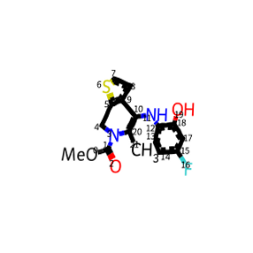 COC(=O)N1Cc2sccc2C(Nc2ccc(F)cc2O)=C1C